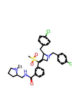 CCN1CCCC1CNC(=O)c1cccc(C(=C2CN(Cc3ccc(Cl)cc3)C2Cc2ccc(Cl)cc2)S(C)(=O)=O)c1